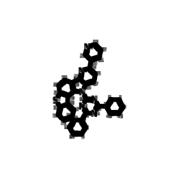 c1ccc(-c2nc(-c3ccccc3)nc(-n3c4ccc(-c5cccnc5)nc4c4ccc5sc6ccccc6c5c43)n2)cc1